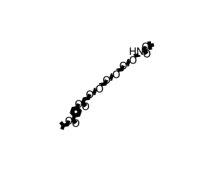 CC(C)COC(=O)c1ccc(OC(=O)CCOCCOCCOCCOCCOCCOCCNC(=O)OC(C)(C)C)cc1